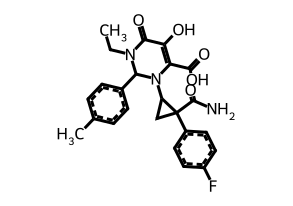 CCN1C(=O)C(O)=C(C(=O)O)N(C2CC2(C(N)=O)c2ccc(F)cc2)C1c1ccc(C)cc1